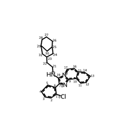 Clc1ccccc1-c1nc2c3ccccc3ccn2c1NCCC1CC2CCCC(C2)C1